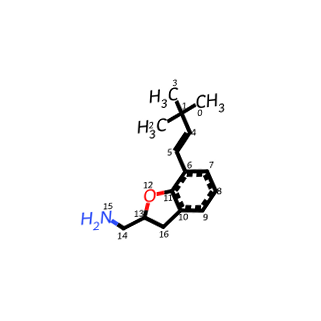 CC(C)(C)C=Cc1cccc2c1OC(CN)C2